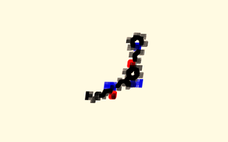 CCCC(=O)NCCc1c[nH]c2ccc(OCCCN3CCCCC3)cc12